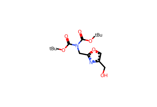 CC(C)(C)OC(=O)N(Cc1nc(CO)co1)C(=O)OC(C)(C)C